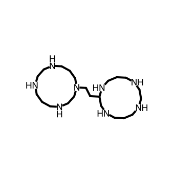 C1CNCCNCCCN(CCC2CNCCCNCCNCCCN2)CCNC1